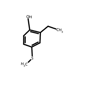 CCc1cc(SC)ccc1O